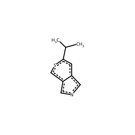 CC(C)c1cc2cncc-2cs1